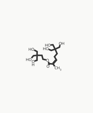 CC(=CCCC(CO)(CO)CO)C(=O)OCCC(CO)(CO)CO